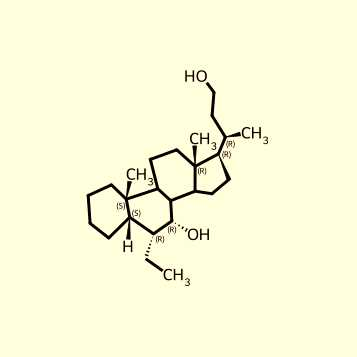 CC[C@H]1[C@@H](O)C2C3CC[C@H]([C@H](C)CCO)[C@@]3(C)CCC2[C@@]2(C)CCCC[C@@H]12